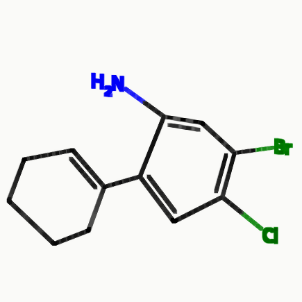 Nc1cc(Br)c(Cl)cc1C1=CCCCC1